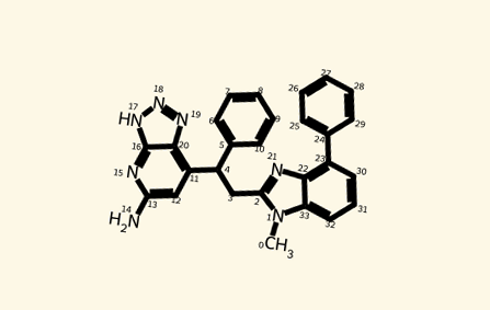 Cn1c(CC(c2ccccc2)c2cc(N)nc3[nH]nnc23)nc2c(-c3ccccc3)cccc21